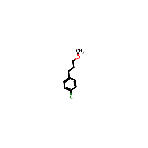 COCCCc1ccc(Cl)cc1